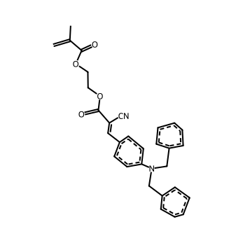 C=C(C)C(=O)OCCOC(=O)/C(C#N)=C/c1ccc(N(Cc2ccccc2)Cc2ccccc2)cc1